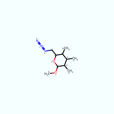 COC1OC(CN=[N+]=[N-])C(C)C(C)C1C